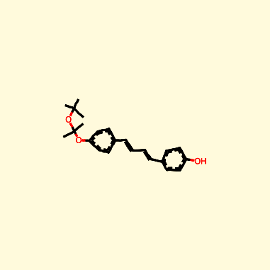 CC(C)(C)OC(C)(C)Oc1ccc(C=CC=Cc2ccc(O)cc2)cc1